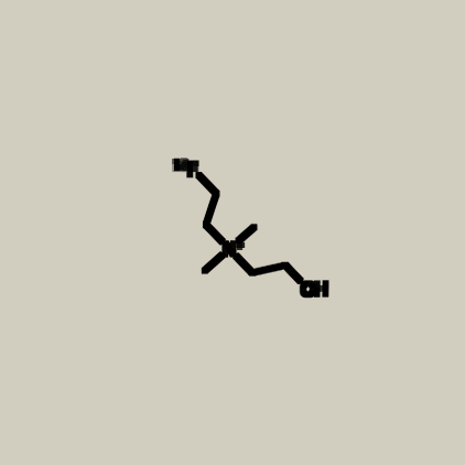 C[N+](C)(CCO)CC[18F]